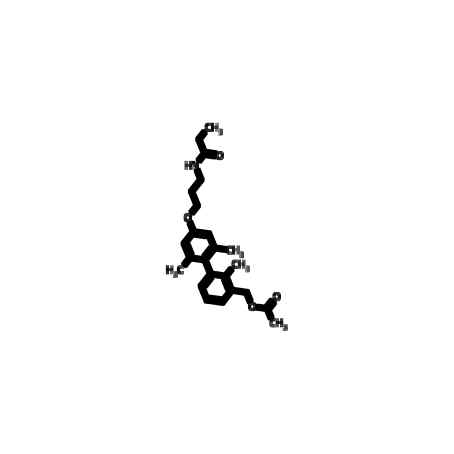 CCC(=O)NCCCOc1cc(C)c(-c2cccc(COC(C)=O)c2C)c(C)c1